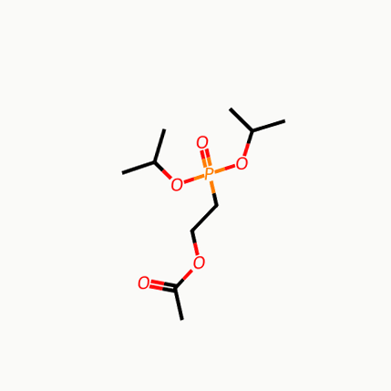 CC(=O)OCCP(=O)(OC(C)C)OC(C)C